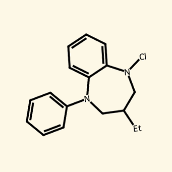 CCC1CN(Cl)c2ccccc2N(c2ccccc2)C1